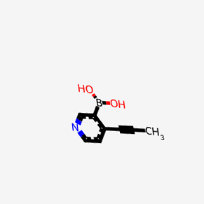 CC#Cc1ccncc1B(O)O